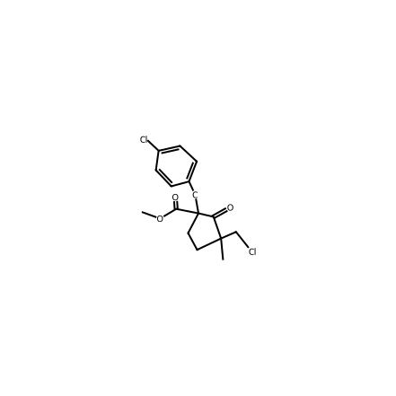 COC(=O)C1(Cc2ccc(Cl)cc2)CCC(C)(CCl)C1=O